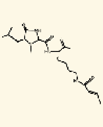 C/C=C/C(=O)NCCCC[C@H](NC(=O)C1NC(=O)[C@H](CC(C)C)N1C)C(C)=O